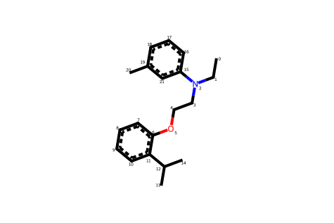 CCN(CCOc1ccccc1C(C)C)c1cccc(C)c1